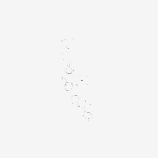 CC(Cn1cnnn1)Oc1cc(-c2cnc(Nc3cn(C4CCC(N5CCOCC5)CC4)nc3OCC3(O)CC3)nc2)ccc1C#N